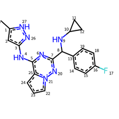 Cc1cc(Nc2nc(C(NC3CC3)c3ccc(F)cc3)nn3cccc23)n[nH]1